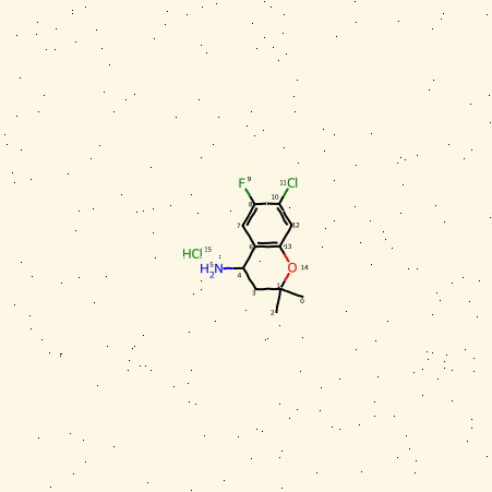 CC1(C)CC(N)c2cc(F)c(Cl)cc2O1.Cl